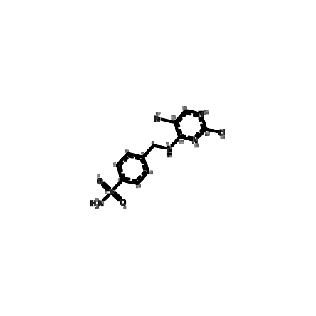 NS(=O)(=O)c1ccc(CNc2nc(Cl)ncc2Br)cc1